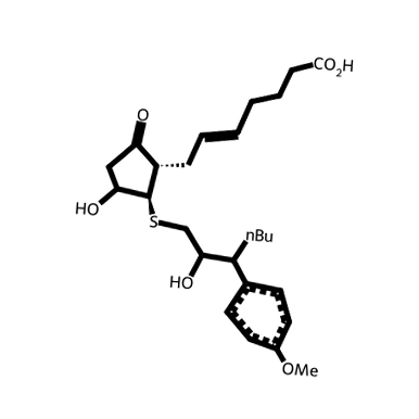 CCCCC(c1ccc(OC)cc1)C(O)CS[C@H]1C(O)CC(=O)[C@@H]1CC=CCCCC(=O)O